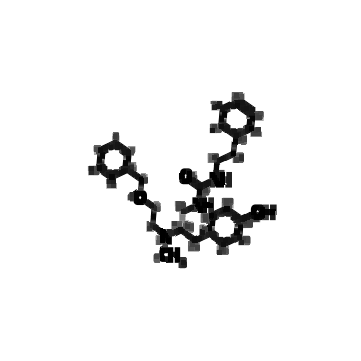 CN(CCOCc1ccccc1)[C@H](CNC(=O)NCCc1cc#ccc1)Cc1ccc(O)cc1